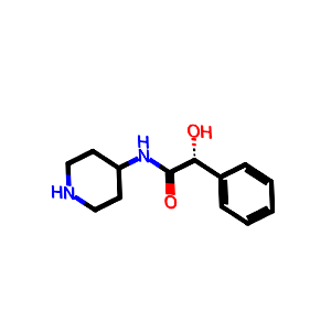 O=C(NC1CCNCC1)[C@H](O)c1ccccc1